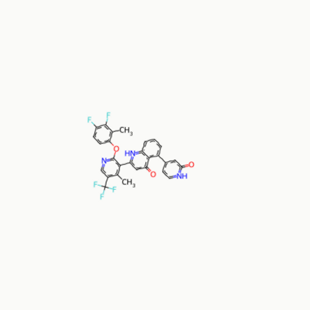 Cc1c(Oc2ncc(C(F)(F)F)c(C)c2-c2cc(=O)c3c(-c4cc[nH]c(=O)c4)cccc3[nH]2)ccc(F)c1F